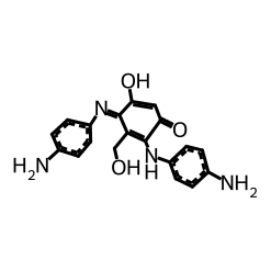 Nc1ccc(/N=C2/C(O)=CC(=O)C(Nc3ccc(N)cc3)=C2CO)cc1